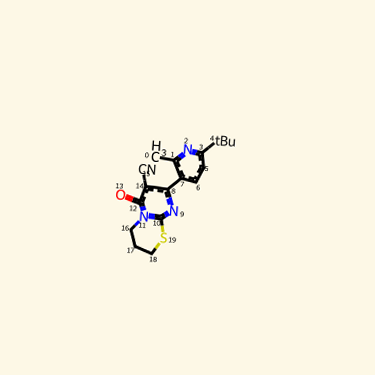 Cc1nc(C(C)(C)C)ccc1-c1nc2n(c(=O)c1C#N)CCCS2